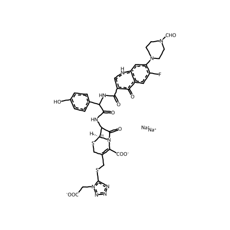 O=CN1CCN(c2cc3[nH]cc(C(=O)NC(C(=O)NC4C(=O)N5C(C(=O)[O-])=C(CSc6nnnn6CC(=O)[O-])CS[C@@H]45)c4ccc(O)cc4)c(=O)c3cc2F)CC1.[Na+].[Na+]